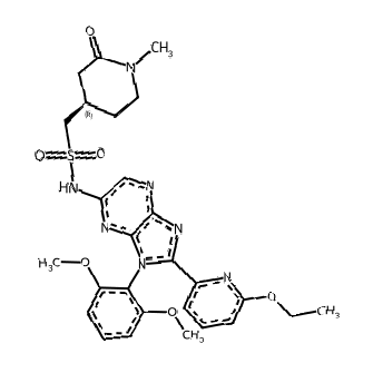 CCOc1cccc(-c2nc3ncc(NS(=O)(=O)C[C@@H]4CCN(C)C(=O)C4)nc3n2-c2c(OC)cccc2OC)n1